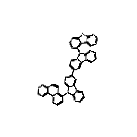 c1c2ccccc2c2cccc(-n3c4ccccc4c4cc(-c5ccc6c(c5)c5ccccc5n6-c5cccc6sc7ccccc7c56)ccc43)c2c#1